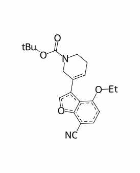 CCOc1ccc(C#N)c2occ(C3=CCCN(C(=O)OC(C)(C)C)C3)c12